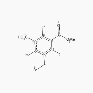 COC(=O)c1c(C)c(CBr)c(C)c(C(=O)O)c1C